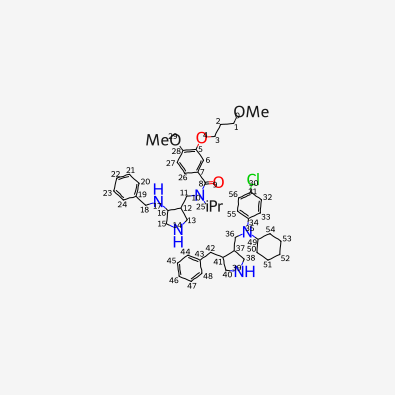 COCCCOc1cc(C(=O)N(CC2CNCC2NCc2ccccc2)C(C)C)ccc1OC.Clc1ccc(N(CC2CNCC2Cc2ccccc2)C2CCCCC2)cc1